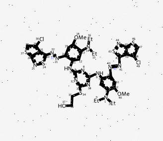 CCN(CC)c1cc(Nc2nc(Nc3cc(N(CC)CC)c(OC)cc3/N=N/c3snc4scc(Cl)c34)nc(SCCO)n2)c(/N=N/c2snc3scc(Cl)c23)cc1OC